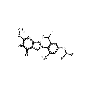 COc1nc2nn(-c3c(C)cc(OC(F)F)cc3C(F)F)cc2c(=O)[nH]1